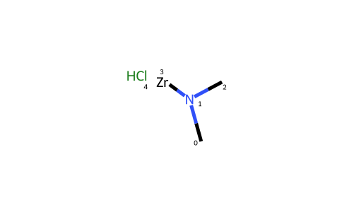 C[N](C)[Zr].Cl